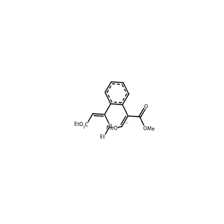 CCOC(=O)C=C(OCC)c1ccccc1/C(=C\OC)C(=O)OC